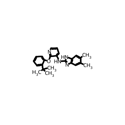 Cc1cc2nc(Nc3cccnc3Oc3ccccc3C(C)(C)C)[nH]c2cc1C